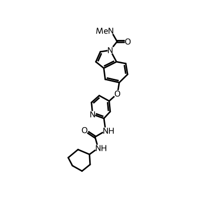 CNC(=O)n1ccc2cc(Oc3ccnc(NC(=O)NC4CCCCC4)c3)ccc21